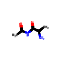 CC(=O)NC(=O)C(C)N